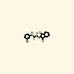 O=c1c(=NNC(=S)Nc2cccc(Br)c2)c(=O)c2ccccc12